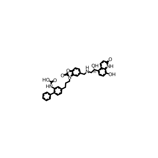 O=C(O)Nc1cc(CCCn2c(=O)oc3ccc(CNC[C@H](O)c4ccc(O)c5[nH]c(=O)ccc45)cc32)ccc1-c1ccccc1